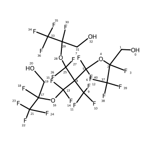 OCC(F)(OC(F)(F)C(C(F)(F)F)(C(F)(F)OC(F)(CO)C(F)(F)F)C(F)(F)OC(F)(CO)C(F)(F)F)C(F)(F)F